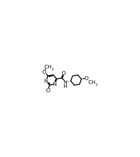 COc1cc(C(=O)N[C@H]2CC[C@H](OC)CC2)nc(Cl)n1